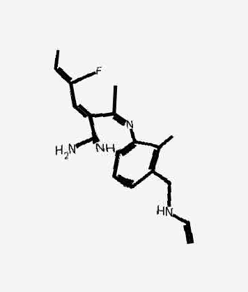 C=CNCc1cccc(\N=C(C)/C(=C\C(F)=C\C)C(=N)N)c1C